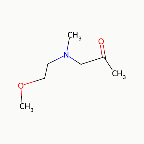 COCCN(C)CC(C)=O